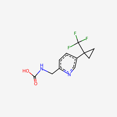 O=C(O)NCc1ccc(C2(C(F)(F)F)CC2)cn1